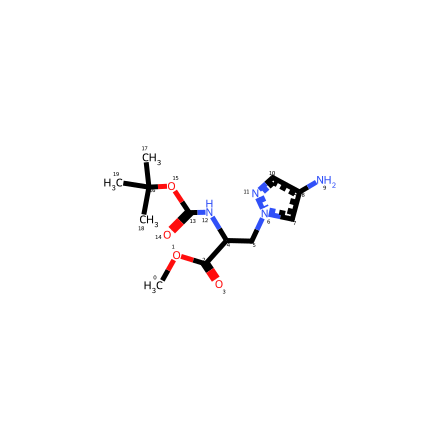 COC(=O)C(Cn1cc(N)cn1)NC(=O)OC(C)(C)C